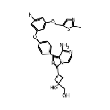 Cc1ncc(COc2cc(F)cc(Oc3ccc(-c4nc(C5CC(O)(CO)C5)n5ccnc(N)c45)cc3)c2)s1